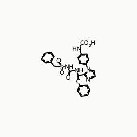 O=C(O)Nc1ccc(-n2ccnc2C(Cc2ccccc2)NC(=O)NS(=O)(=O)Cc2ccccc2)cc1